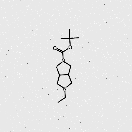 CCN1CC2CN(C(=O)OC(C)(C)C)CC2C1